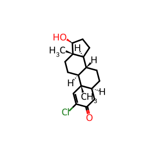 C[C@]12C=C(Cl)C(=O)C[C@@H]1CC[C@@H]1[C@@H]2CC[C@]2(C)[C@@H](O)CC[C@@H]12